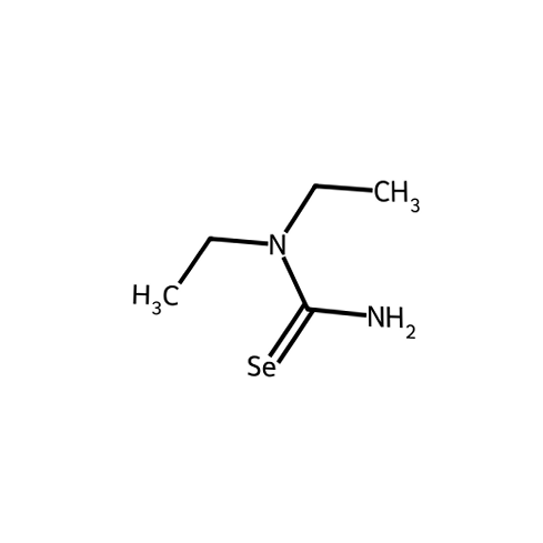 CCN(CC)C(N)=[Se]